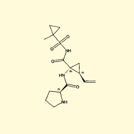 C=C[C@@H]1C[C@]1(NC(=O)[C@@H]1CCCN1)C(=O)NS(=O)(=O)C1(C)CC1